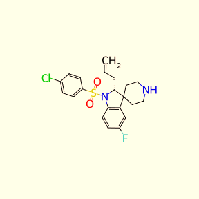 C=CC[C@H]1N(S(=O)(=O)c2ccc(Cl)cc2)c2ccc(F)cc2C12CCNCC2